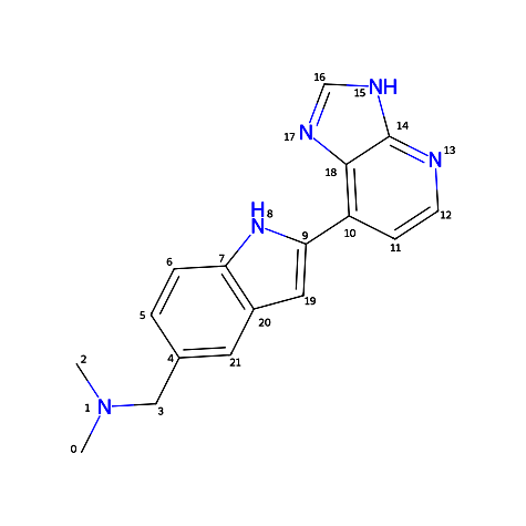 CN(C)Cc1ccc2[nH]c(-c3ccnc4[nH]cnc34)cc2c1